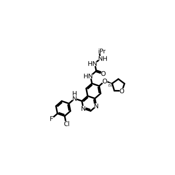 CC(C)NNC(=O)Nc1cc2c(Nc3ccc(F)c(Cl)c3)ncnc2cc1O[C@H]1CCOC1